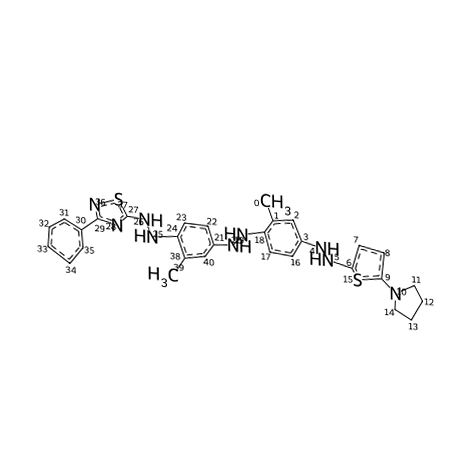 Cc1cc(NNc2ccc(N3CCCC3)s2)ccc1NNc1ccc(NNc2nc(-c3ccccc3)ns2)c(C)c1